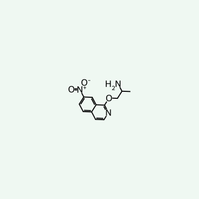 CC(N)COc1nccc2ccc([N+](=O)[O-])cc12